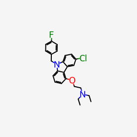 CCN(CC)CCOc1cccc2c1c1cc(Cl)ccc1n2Cc1ccc(F)cc1